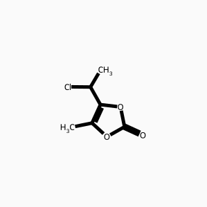 Cc1oc(=O)oc1C(C)Cl